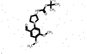 COc1cc(C=O)c(N2CC[C@H](NC(=O)OC(C)(C)C)C2)cc1OC